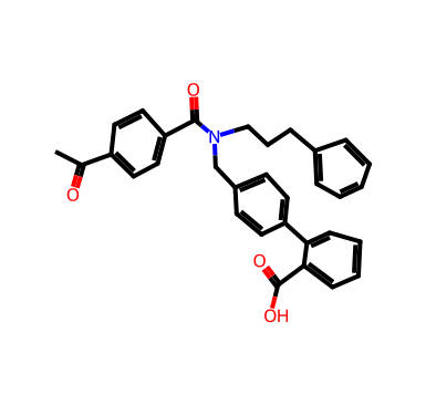 CC(=O)c1ccc(C(=O)N(CCCc2ccccc2)Cc2ccc(-c3ccccc3C(=O)O)cc2)cc1